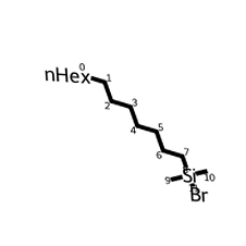 CCCCCCCCCCCCC[Si](C)(C)Br